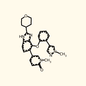 Cn1cc(-c2ccccc2Oc2c(-c3ccc(=O)n(C)c3)ccc3[nH]c(C4CCOCC4)nc23)cn1